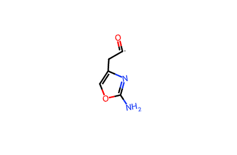 Nc1nc(C[C]=O)co1